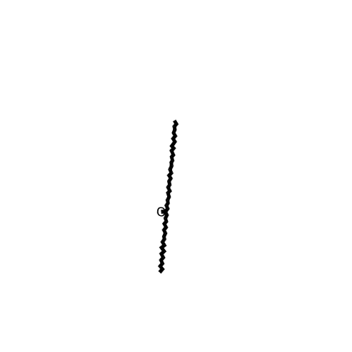 CCCCCCCCCCCCCCCCCCCCCCCCCCCCCCC(=O)CCCCCCCCCCCCCCCCCCCC